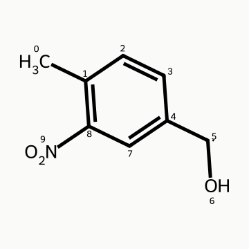 Cc1ccc([CH]O)cc1[N+](=O)[O-]